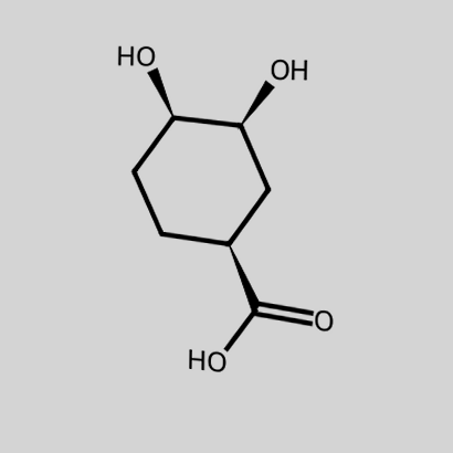 O=C(O)[C@H]1CC[C@@H](O)[C@@H](O)C1